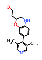 Cc1cncc(C)c1-c1ccc2c(c1)OC(CCO)CN2